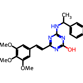 COc1cc(C=Cc2nc(O)nc(NC(C)c3ccccc3)n2)cc(OC)c1OC